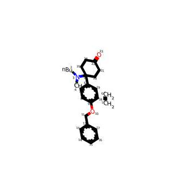 C=C.CCCCN(C)C1(c2ccc(OCc3ccccc3)cc2)CCC(=O)CC1